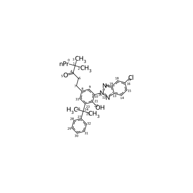 CCCC(C)(C)C(=O)CCc1cc(-n2nc3ccc(Cl)cc3n2)c(O)c(C(C)(C)c2ccccc2)c1